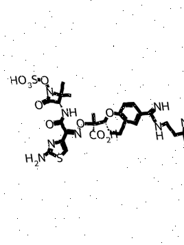 CC1(C)[C@H](NC(=O)/C(=N\O[C@](C)(C(=O)O)[C@H]2CCc3cc(C(=N)NCCC4(N)CC4)ccc3O2)c2csc(N)n2)C(=O)N1OS(=O)(=O)O